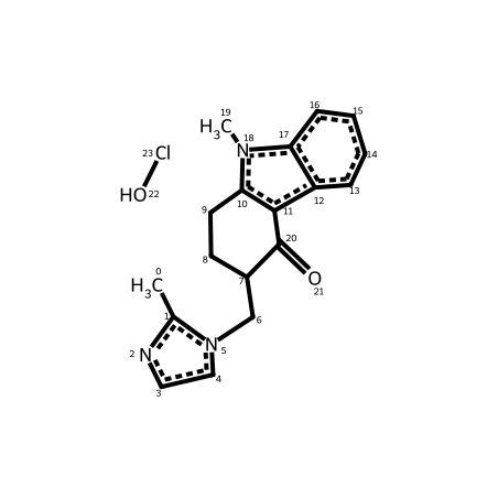 Cc1nccn1CC1CCc2c(c3ccccc3n2C)C1=O.OCl